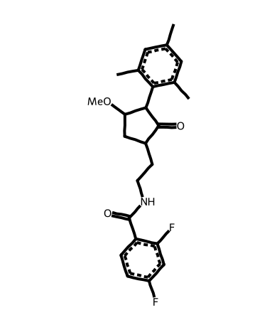 COC1CC(CCNC(=O)c2ccc(F)cc2F)C(=O)C1c1c(C)cc(C)cc1C